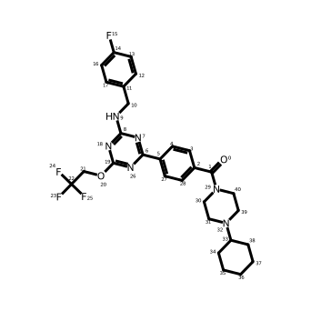 O=C(c1ccc(-c2nc(NCc3ccc(F)cc3)nc(OCC(F)(F)F)n2)cc1)N1CCN(C2CCCCC2)CC1